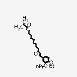 C=C(C)C(=O)CCCCCCCCCCC(=O)/C=C/c1ccc(OCC)c(OCCC)c1